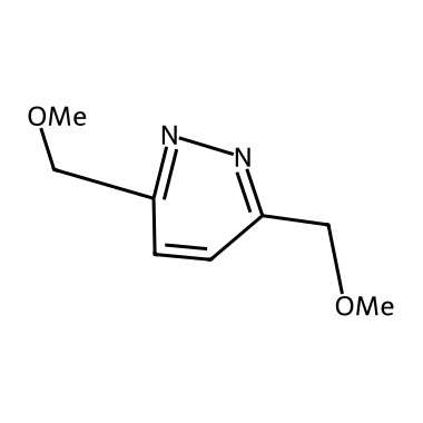 COCc1ccc(COC)nn1